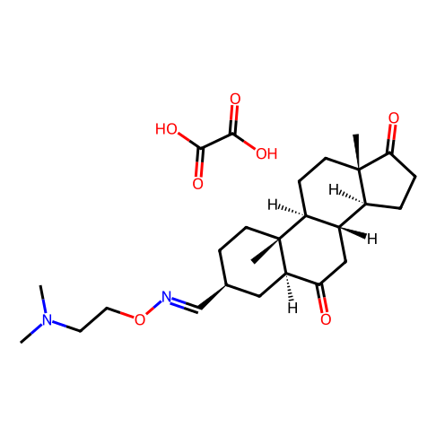 CN(C)CCO/N=C/[C@H]1CC[C@@]2(C)[C@H](C1)C(=O)C[C@@H]1[C@@H]2CC[C@]2(C)C(=O)CC[C@@H]12.O=C(O)C(=O)O